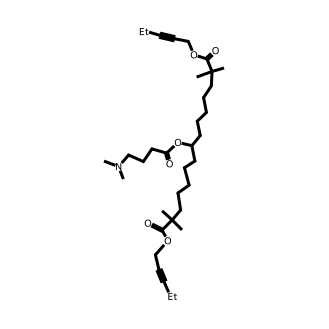 CCC#CCOC(=O)C(C)(C)CCCCCC(CCCCCC(C)(C)C(=O)OCC#CCC)OC(=O)CCCN(C)C